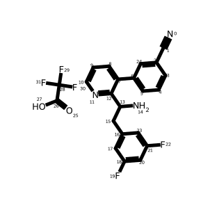 N#Cc1cccc(-c2cccnc2C(N)Cc2cc(F)cc(F)c2)c1.O=C(O)C(F)(F)F